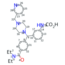 CCN(CC)C(=O)c1ccc(C(c2cccc(NC(=O)O)c2)N2CCN(Cc3cccnc3)CC2)cc1